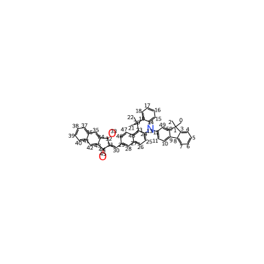 CC1(C)c2ccccc2-c2ccc(N3c4ccccc4C(C)(C)c4c3ccc3cc(C=C5C(=O)c6cc7ccccc7cc6C5=O)ccc43)cc21